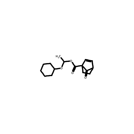 CC(OC(=O)C12C=CC(CC1)C2=O)OC1CCCCC1